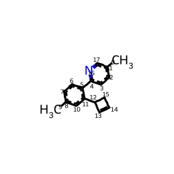 Cc1ccc(-c2ccc(C)cc2C2C=CC2)nc1